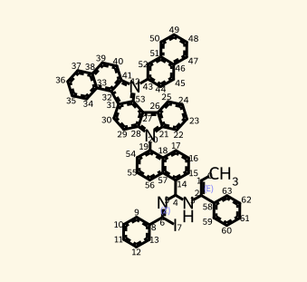 C/C=C(/NC(/N=C(\I)c1ccccc1)c1cccc2c(-n3c4ccccc4c4c3ccc3c5c6ccccc6ccc5n(-c5ccc6ccccc6c5)c34)cccc12)c1ccccc1